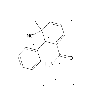 CC1(C#N)C=CC=C(C(N)=O)C1c1ccccc1